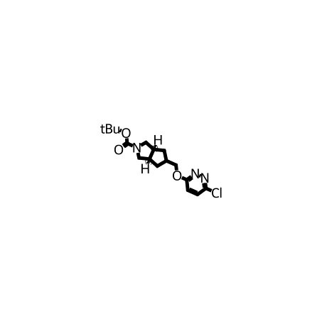 CC(C)(C)OC(=O)N1C[C@H]2CC(COc3ccc(Cl)nn3)C[C@H]2C1